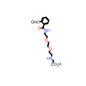 O=Cc1ccccc1C(=O)NCCOCCOCCNCC(=O)O